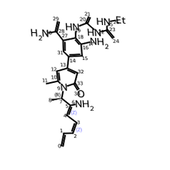 C=C/C=C\C=C(/N)[C@@H](C)n1c(C)cc(-c2cc(N)c(NC(=C)NC(=C)NCC)c(C(=C)N)c2)cc1=O